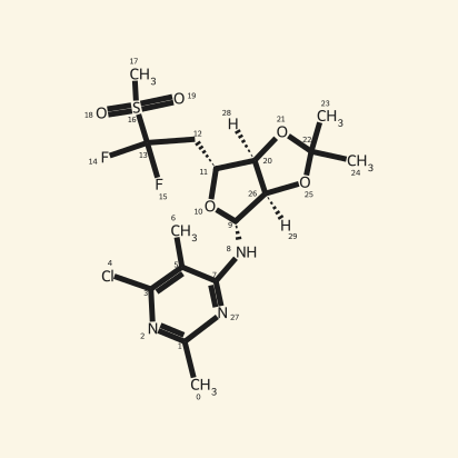 Cc1nc(Cl)c(C)c(N[C@@H]2O[C@H](CC(F)(F)S(C)(=O)=O)[C@H]3OC(C)(C)O[C@H]32)n1